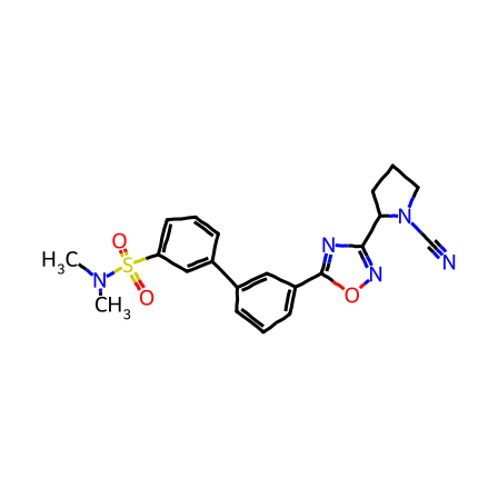 CN(C)S(=O)(=O)c1cccc(-c2cccc(-c3nc(C4CCCN4C#N)no3)c2)c1